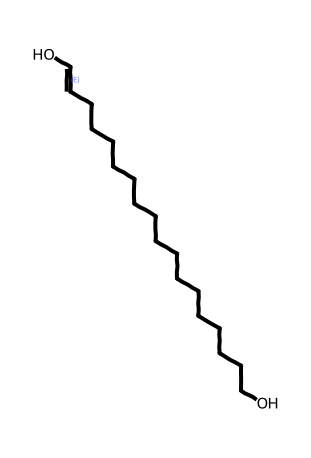 O/C=C/CCCCCCCCCCCCCCCCO